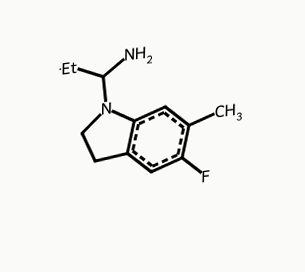 C[CH]C(N)N1CCc2cc(F)c(C)cc21